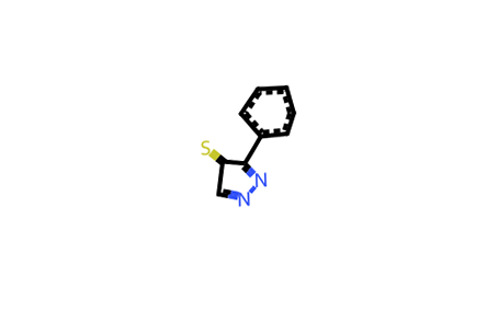 S=C1C=NN=C1c1ccccc1